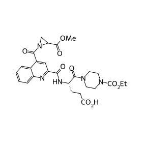 CCOC(=O)N1CCN(C(=O)[C@H](CCC(=O)O)NC(=O)c2cc(C(=O)N3CC3C(=O)OC)c3ccccc3n2)CC1